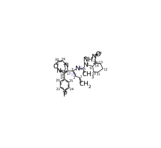 C=C/C=C(\N=C(/C)N(N)C1CCCC[C@@H]1N=O)C1=C(c2ccc(F)cc2)N2CN1C=CO2